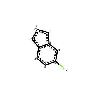 Fc1ccc2c[se]cc2c1